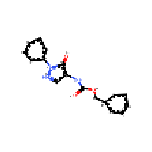 O=C(Nc1c[nH]n(-c2ccccc2)c1=O)OCc1ccccc1